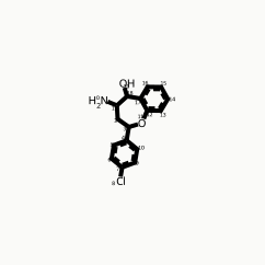 NC1CC(c2ccc(Cl)cc2)Oc2ccccc2C1O